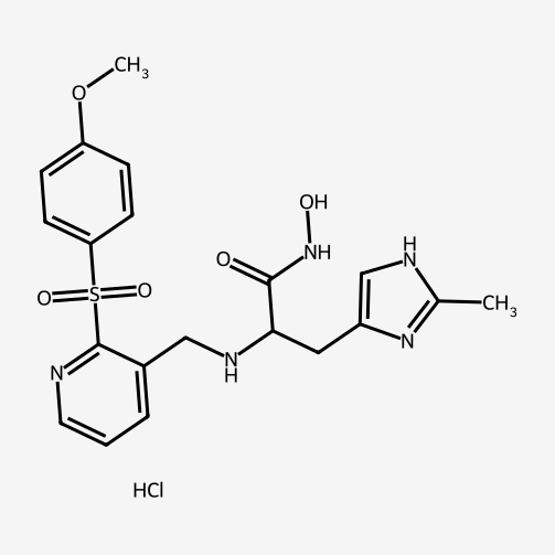 COc1ccc(S(=O)(=O)c2ncccc2CNC(Cc2c[nH]c(C)n2)C(=O)NO)cc1.Cl